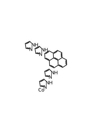 [Co].c1cc2ccc3cccc4ccc(c1)c2c34.c1cn[nH]c1.c1cn[nH]c1.c1cn[nH]c1.c1cn[nH]c1